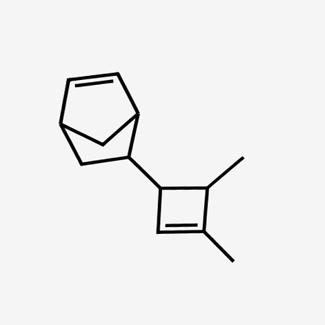 CC1=CC(C2CC3C=CC2C3)C1C